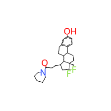 C[C@]12CCC3c4ccc(O)cc4CCC3C1[C@H](CCC(=O)N1CCCCC1)CC2(F)F